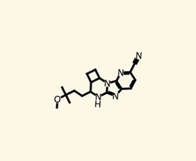 COC(C)(C)CCC1Nc2nc3ccc(C#N)nc3n2C2CCC12